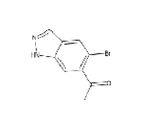 CC(=O)c1cc2[nH]ncc2cc1Br